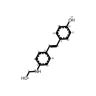 OCNc1ccc(/C=C/c2ccc(O)cc2)cc1